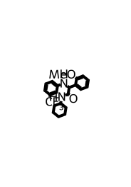 COc1ccccc1C(Nc1cccc(C(F)(F)F)c1)C(=O)NC1CCCCC1